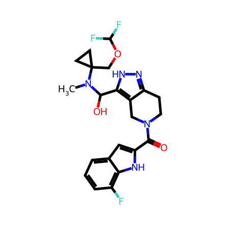 CN(C(O)c1[nH]nc2c1CN(C(=O)c1cc3cccc(F)c3[nH]1)CC2)C1(COC(F)F)CC1